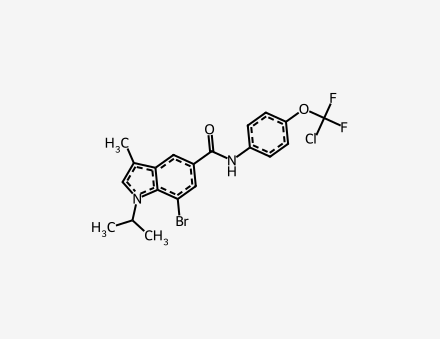 Cc1cn(C(C)C)c2c(Br)cc(C(=O)Nc3ccc(OC(F)(F)Cl)cc3)cc12